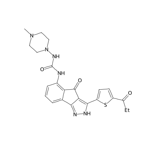 CCC(=O)c1ccc(-c2[nH]nc3c2C(=O)c2c(NC(=O)NN4CCN(C)CC4)cccc2-3)s1